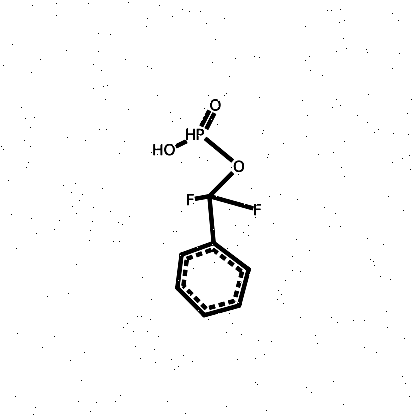 O=[PH](O)OC(F)(F)c1ccccc1